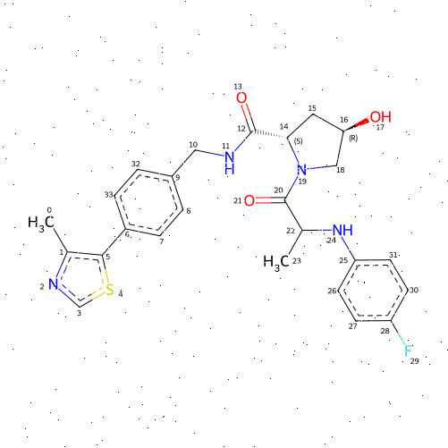 Cc1ncsc1-c1ccc(CNC(=O)[C@@H]2C[C@@H](O)CN2C(=O)C(C)Nc2ccc(F)cc2)cc1